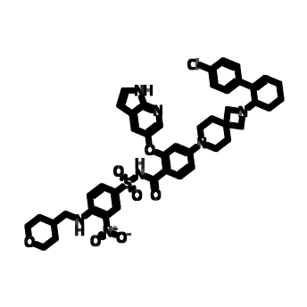 O=C(NS(=O)(=O)c1ccc(NCC2CCOCC2)c([N+](=O)[O-])c1)c1ccc(N2CCC3(CC2)CN(C2CCCC=C2c2ccc(Cl)cc2)C3)cc1Oc1cnc2[nH]ccc2c1